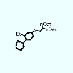 CCCCCCCCCCC(CCCCCCCC)CSc1ccc(-c2ccccc2)c(CC)c1